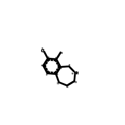 Cc1c(Cl)ccc2c1CNCCC2